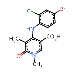 Cc1c(Nc2ccc(Br)cc2Cl)c(C(=O)O)cn(C)c1=O